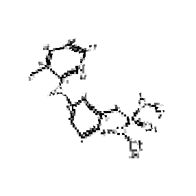 CCOP(=O)(Cc1cccc(Oc2ncccc2C)c1)OCC